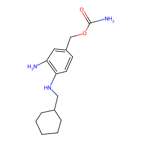 NC(=O)OCc1ccc(NCC2CCCCC2)c(N)c1